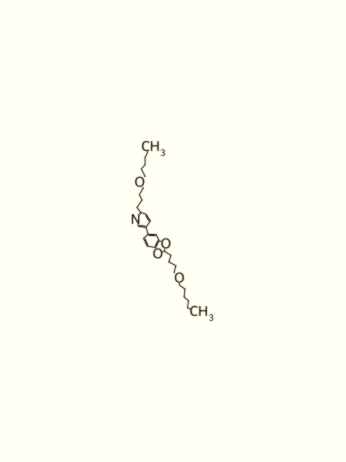 CCCCCCOCCCCc1ccc(-c2ccc3c(c2)OC(CCCCOCCCCCC)O3)cn1